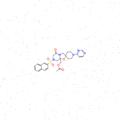 CC(=O)OCC12CN(S(=O)(=O)c3ccc4ccccc4c3)CC(=O)N1CC1(CCN(c3ccncn3)CC1)O2